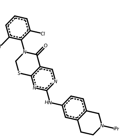 CC(C)N1CCc2cc(Nc3ncc4c(n3)SCN(c3c(Cl)cccc3Cl)C4=O)ccc2C1